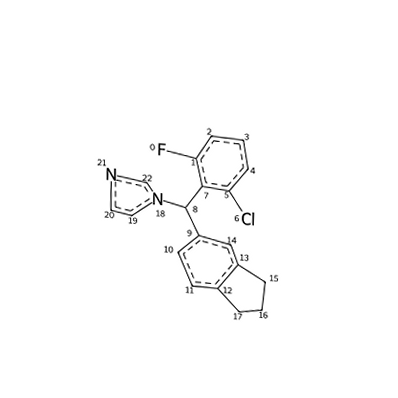 Fc1cccc(Cl)c1C(c1ccc2c(c1)CCC2)n1ccnc1